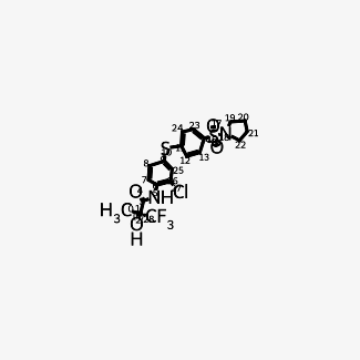 C[C@@](O)(C(=O)Nc1ccc(Sc2ccc(S(=O)(=O)N3CCCC3)cc2)cc1Cl)C(F)(F)F